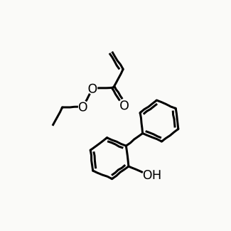 C=CC(=O)OOCC.Oc1ccccc1-c1ccccc1